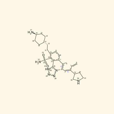 C=C/C(=C\C=C(/C)c1ccc(CC[C@H]2CC[C@H](N)CC2)c(S(N)(=O)=O)c1-c1nnn[nH]1)C1CCNC1